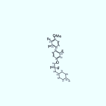 COc1ccc(-c2ccc(OCC(F)(F)CC3CCC(C)CC3)cc2F)c(F)c1F